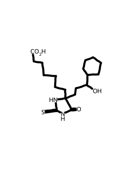 O=C(O)CCCCCCC1(CCC(O)C2CCCCC2)NC(=S)NC1=O